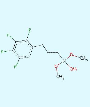 CO[Si](O)(CCCc1cc(F)c(F)c(F)c1F)OC